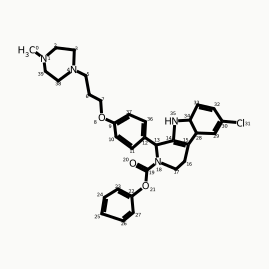 CN1CCN(CCCOc2ccc(C3C4=C(CCN3C(=O)Oc3ccccc3)C3C=C(Cl)C=CC3N4)cc2)CC1